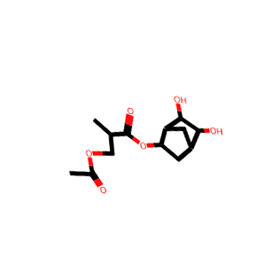 CC(=O)OCC(C)C(=O)OC1CC2CC1C(O)C2O